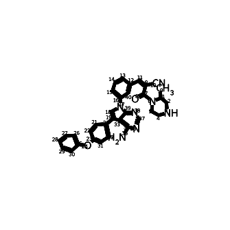 CC1CNCCN1C(=O)C(C#N)=Cc1cccc(-n2cc(-c3ccc(Oc4ccccc4)cc3)c3c(N)ncnc32)c1